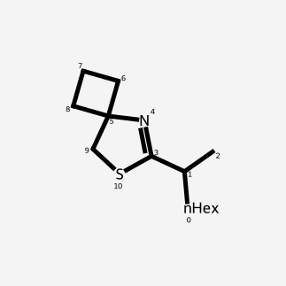 CCCCCCC(C)C1=NC2(CCC2)CS1